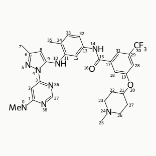 CNc1cc(-n2nc(C)cc2Nc2cc(NC(=O)c3cc(OC4CCN(C)CC4)cc(C(F)(F)F)c3)ccc2C)ncn1